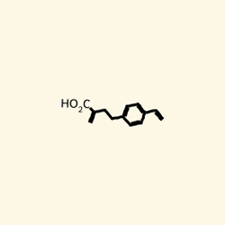 C=Cc1ccc(CCC(=C)C(=O)O)cc1